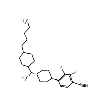 CCCCCC1CCC(C(C)[C@H]2CC[C@H](c3ccc(C#N)c(F)c3F)CC2)CC1